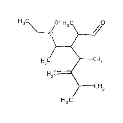 C=C(C(C)C)C(C)C(C(C)C=O)C(C)[S+]([O-])CC